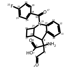 NC(CC=O)(C(=O)O)C1c2ccccc2N(C(=O)c2ccc(F)cc2)C2CCC21